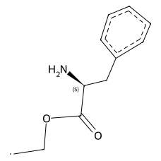 [CH2]COC(=O)[C@@H](N)Cc1ccccc1